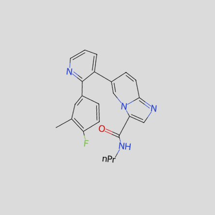 CCCNC(=O)c1cnc2ccc(-c3cccnc3-c3ccc(F)c(C)c3)cn12